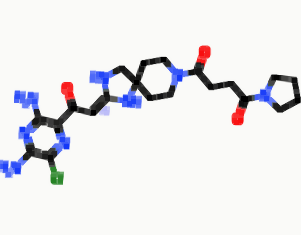 Nc1nc(N)c(C(=O)/C=C2\NCC3(CCN(C(=O)CCC(=O)N4CCCC4)CC3)N2)nc1Cl